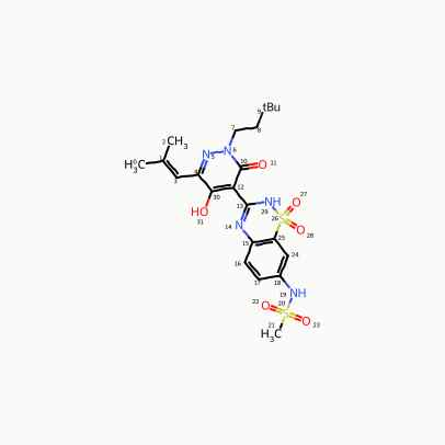 CC(C)=Cc1nn(CCC(C)(C)C)c(=O)c(C2=Nc3ccc(NS(C)(=O)=O)cc3S(=O)(=O)N2)c1O